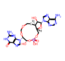 Nc1nc2c(ncn2[C@@H]2OCOCC[C@H]3[C@@H](O)[C@H](n4cnc5c(N)ncnc54)O[C@@H]3COP(=O)(O)O[C@@H]2O)c(=O)[nH]1